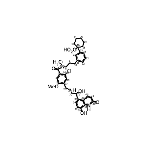 COc1cc(C(=O)N(C)CCCc2cccc(C3(C(=O)O)CCCCC3)c2)c(Cl)cc1CNCC(O)c1ccc(O)c2[nH]c(=O)ccc12